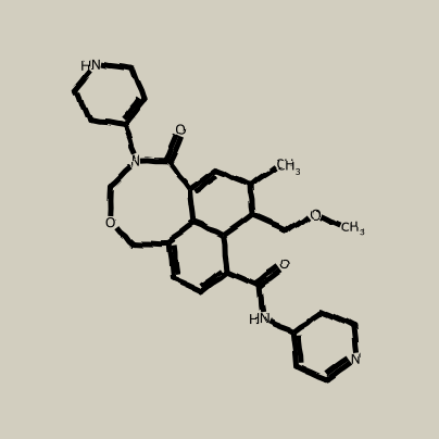 COCC1C(C)C=C2C(=O)N(C3=CCNCC3)COCC3=CC=C(C(=O)NC4=CC=NCC4)C1C32